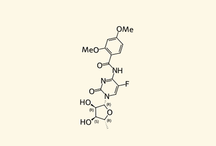 COc1ccc(C(=O)Nc2nc(=O)n([C@@H]3O[C@H](C)[C@@H](O)[C@H]3O)cc2F)c(OC)c1